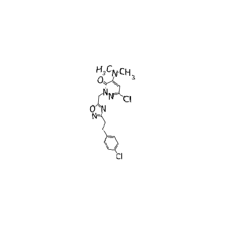 CN(C)c1cc(Cl)nn(Cc2nc(CCc3ccc(Cl)cc3)no2)c1=O